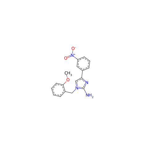 COc1ccccc1Cn1cc(-c2cccc([N+](=O)[O-])c2)nc1N